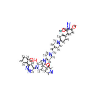 CN(C(=O)C1(c2ccncc2)CCN(c2cnnc(-c3ccccc3O)c2)CC1)C1CCN(CCC2CCN(c3ccc([C@H]4CCC(=O)NC4=O)c(F)c3)CC2)CC1